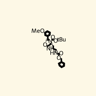 COc1cccc([C@@H](C)N(C(=O)OC(C)(C)C)[C@H](CCCNC(=O)OCc2ccccc2)C(N)=O)c1